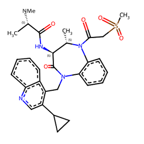 CN[C@@H](C)C(=O)N[C@@H]1C(=O)N(Cc2c(C3CC3)cnc3ccccc23)c2ccccc2N(C(=O)CS(C)(=O)=O)[C@H]1C